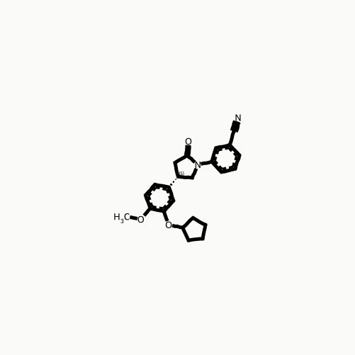 COc1ccc([C@@H]2CC(=O)N(c3cccc(C#N)c3)C2)cc1OC1CCCC1